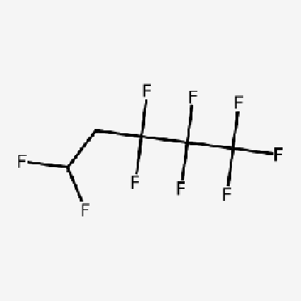 F[C](F)CC(F)(F)C(F)(F)C(F)(F)F